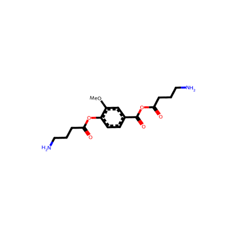 COc1cc(C(=O)OC(=O)CCCN)ccc1OC(=O)CCCN